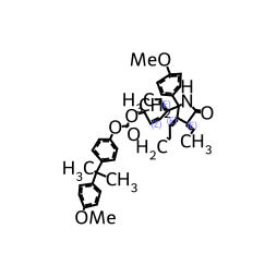 C=C/C=C1\C(=C/C)C(=O)NC1(C(/C=C\C(=C)OC(=O)Oc1ccc(C(C)(C)c2ccc(OC)cc2)cc1)=C/C)c1ccc(OC)cc1